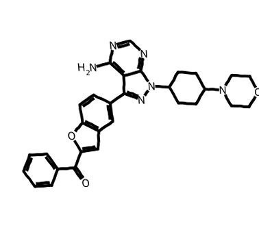 Nc1ncnc2c1c(-c1ccc3oc(C(=O)c4ccccc4)cc3c1)nn2C1CCC(N2CCOCC2)CC1